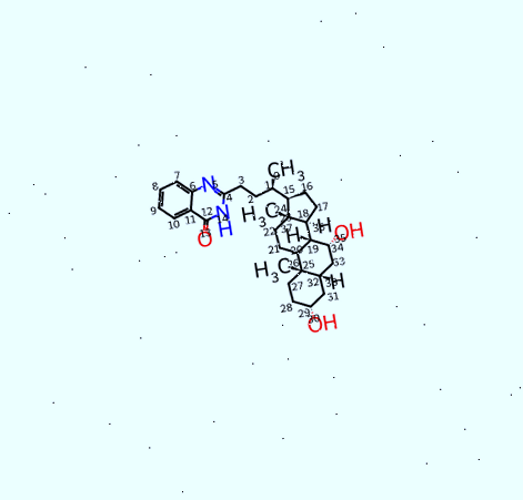 C[C@H](CCc1nc2ccccc2c(=O)[nH]1)[C@H]1CC[C@H]2[C@H]3C(CC[C@]12C)[C@@]1(C)CC[C@@H](O)C[C@H]1C[C@H]3O